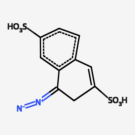 [N-]=[N+]=C1CC(S(=O)(=O)O)=Cc2ccc(S(=O)(=O)O)cc21